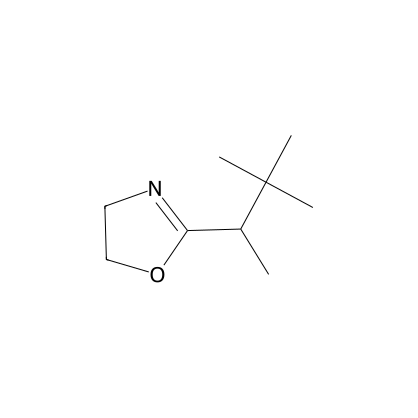 CC(C1=NCCO1)C(C)(C)C